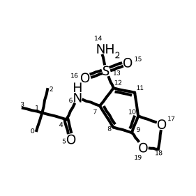 CC(C)(C)C(=O)Nc1cc2c(cc1S(N)(=O)=O)OCO2